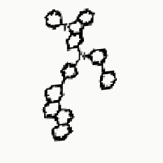 c1ccc(-c2cccc(N(c3ccc(-c4ccc5ccc6c7ccccc7ccc6c5c4)cc3)c3ccc4c(c3)c3ccccc3n4-c3ccccc3)c2)cc1